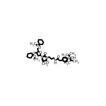 COC1(OCC2OC(n3cc(C)c(=O)n(CCCNC(=O)Cc4ccc([Si](O)(C(C)C)C(C)C)cc4)c3=O)CC2OC2(OC)CCCCC2)CCCCC1